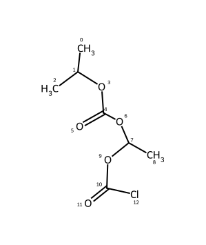 CC(C)OC(=O)OC(C)OC(=O)Cl